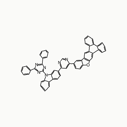 c1ccc(-c2nc(-c3ccccc3)nc(-n3c4ccccc4c4ccc(-c5cc(-c6ccc7oc8cc9c%10ccccc%10c%10ccccc%10c9cc8c7c6)ncn5)cc43)n2)cc1